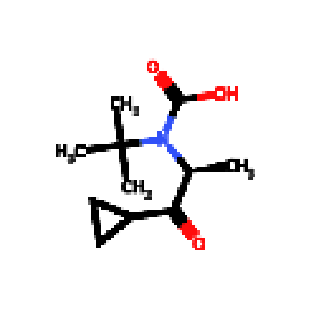 C[C@@H](C(=O)C1CC1)N(C(=O)O)C(C)(C)C